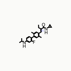 CC/C(=C\c1cc(C)c(-c2ccc(NC(C)C)cc2F)cc1C)C(=O)NC1CC1